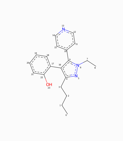 CCCCc1nn(CC)c(-c2ccncc2)c1-c1ccccc1O